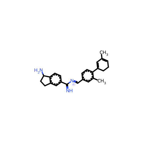 CC1=CCCC(c2ccc(/C=N/C(=N)c3ccc4c(c3)CCC4N)cc2C)=C1